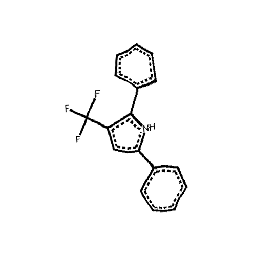 FC(F)(F)c1cc(-c2ccccc2)[nH]c1-c1ccccc1